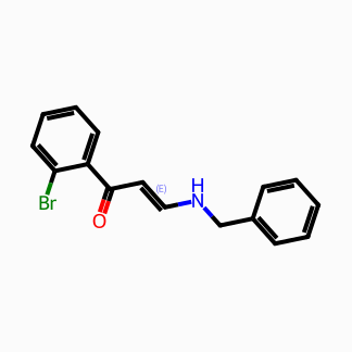 O=C(/C=C/NCc1ccccc1)c1ccccc1Br